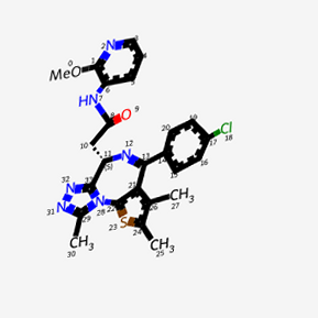 COc1ncccc1NC(=O)C[C@@H]1N=C(c2ccc(Cl)cc2)c2c(sc(C)c2C)-n2c(C)nnc21